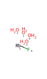 O.O.O.O.[F][Rb]